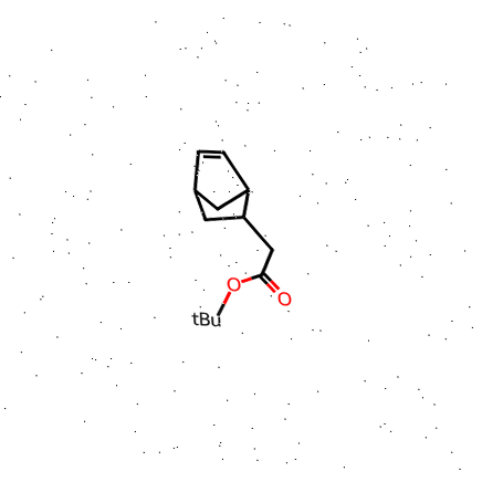 CC(C)(C)OC(=O)CC1CC2C=CC1C2